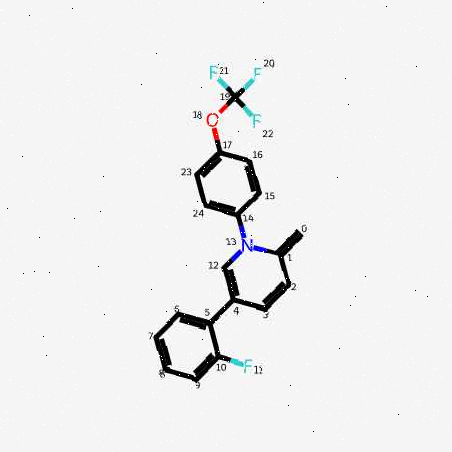 C=C1C=CC(c2ccccc2F)=CN1c1ccc(OC(F)(F)F)cc1